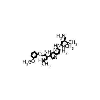 CN/C=C(\C(=N)COc1cccc(OC)c1)c1cnc2ccc(N/C(N)=C/C(=C\N)C(C)C)nc2c1